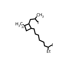 CCC(I)CCCCCCC1C[C@@H](C)C1CC(C)I